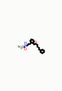 CC(=O)NCCCc1cccc2oc(CCCCc3ccccc3)cc12